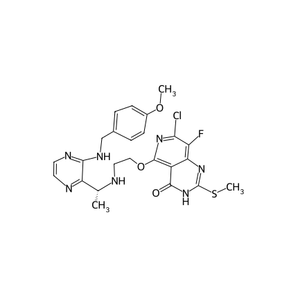 COc1ccc(CNc2nccnc2[C@@H](C)NCCOc2nc(Cl)c(F)c3nc(SC)[nH]c(=O)c23)cc1